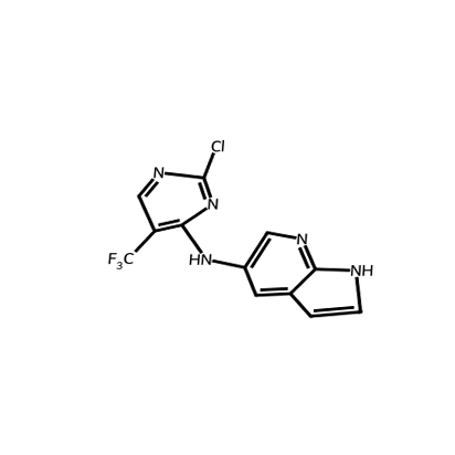 FC(F)(F)c1cnc(Cl)nc1Nc1cnc2[nH]ccc2c1